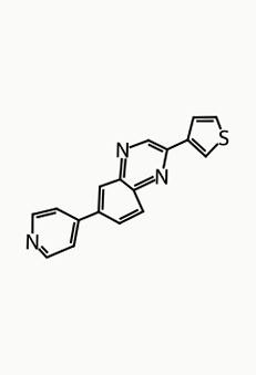 c1cc(-c2ccc3nc(-c4ccsc4)cnc3c2)ccn1